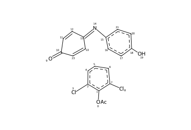 CC(=O)Oc1c(Cl)cccc1Cl.O=C1C=CC(=Nc2ccc(O)cc2)C=C1